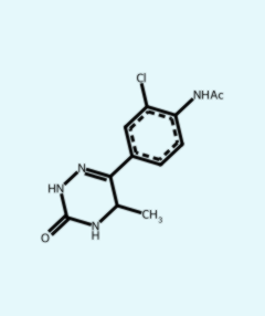 CC(=O)Nc1ccc(C2=NNC(=O)NC2C)cc1Cl